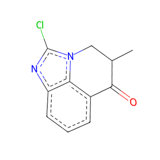 CC1Cn2c(Cl)nc3cccc(c32)C1=O